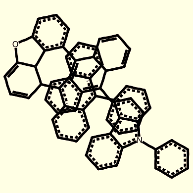 C1=CC2C(c3ccccc3)=c3ccccc3=C(c3cccc4c3C3C(=CC=CC3c3c5ccccc5c(-c5cccc6c5c5ccccc5n6-c5ccccc5)c5ccccc35)O4)C2C=C1